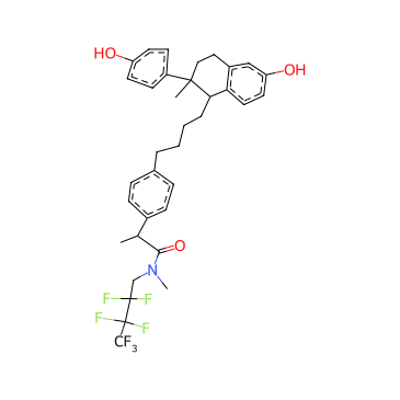 CC(C(=O)N(C)CC(F)(F)C(F)(F)C(F)(F)F)c1ccc(CCCCC2c3ccc(O)cc3CCC2(C)c2ccc(O)cc2)cc1